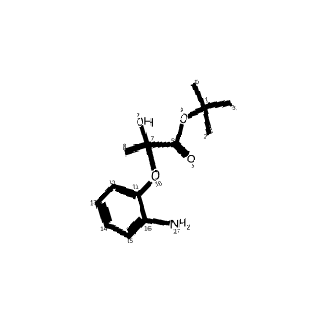 CC(C)(C)OC(=O)C(C)(O)Oc1ccccc1N